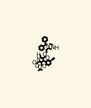 C#Cc1cccc(C2C(C(=O)OCCC3CNCCN3C(c3ccccc3)c3ccccc3)=C(C)NC(C(OC)OC)=C2C(=O)OC(C)C)c1